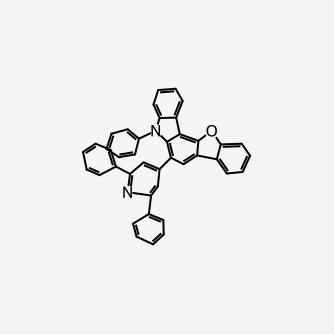 c1ccc(-c2cc(-c3cc4c5ccccc5oc4c4c5ccccc5n(-c5ccccc5)c34)cc(-c3ccccc3)n2)cc1